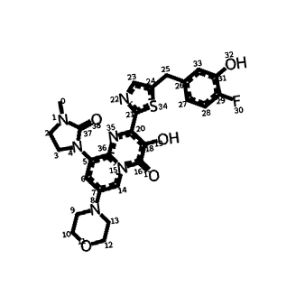 CN1CCN(c2cc(N3CCOCC3)cn3c(=O)c(O)c(-c4ncc(Cc5ccc(F)c(O)c5)s4)nc23)C1=O